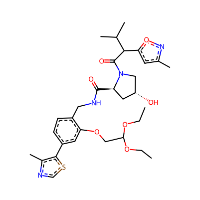 CCOC(COc1cc(-c2scnc2C)ccc1CNC(=O)[C@@H]1C[C@@H](O)CN1C(=O)C(c1cc(C)no1)C(C)C)OCC